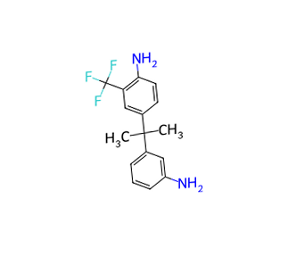 CC(C)(c1cccc(N)c1)c1ccc(N)c(C(F)(F)F)c1